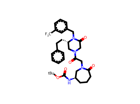 CC(C)(C)OC(=O)N[C@@H]1CCCC(=O)N(CC(=O)N2CC(=O)N(Cc3cccc(C(F)(F)F)c3)[C@@H](CCc3ccccc3)C2)C1